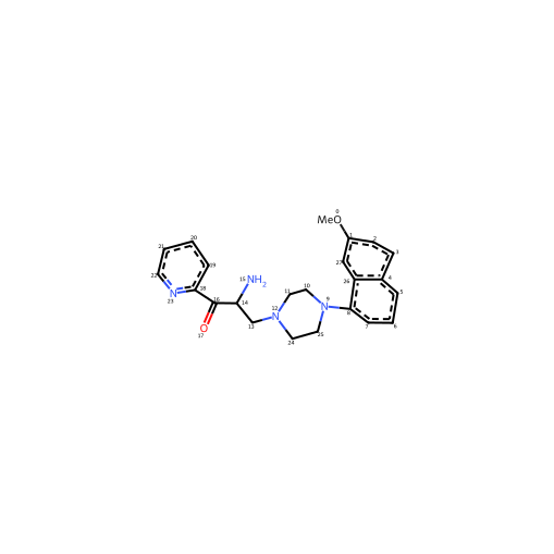 COc1ccc2cccc(N3CCN(CC(N)C(=O)c4ccccn4)CC3)c2c1